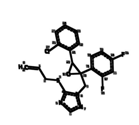 C=CCSc1ncnn1CC1(c2ccc(F)cc2F)OC1c1ccccc1Cl